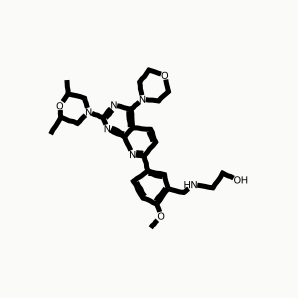 COc1ccc(-c2ccc3c(N4CCOCC4)nc(N4CC(C)OC(C)C4)nc3n2)cc1CNCCO